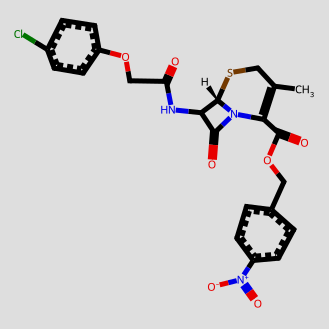 CC1=C(C(=O)OCc2ccc([N+](=O)[O-])cc2)N2C(=O)C(NC(=O)COc3ccc(Cl)cc3)[C@@H]2SC1